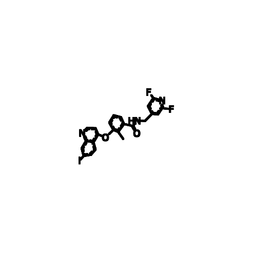 Cc1c(Oc2ccnc3cc(I)ccc23)cccc1C(=O)NCc1cc(F)nc(F)c1